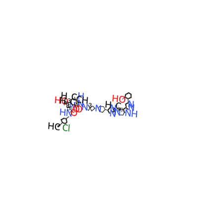 C#Cc1ccc(CNC(=O)[C@@H]2C[C@@H](O)CN2C(=O)[C@@H](NC(=O)N2CC3(CC(N4CCC(c5cnc(N6CCc7[nH]c8nnc(-c9ccccc9O)cc8c7[C@H]6C)nc5)CC4)C3)C2)C(C)(C)C)cc1Cl